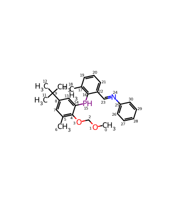 COCOc1c(C)cc(C(C)(C)C)cc1Pc1c(C)cccc1/C=N/c1ccccc1